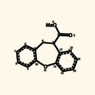 COC(=O)C1Cc2ccccc2Oc2cccnc21